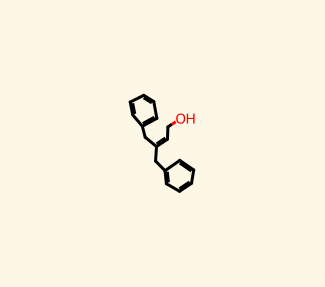 OCC=C(Cc1ccccc1)Cc1ccccc1